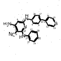 N#Cc1c(N)cc(Nc2ccc(-c3ccncc3)cc2)nc1Nc1ccccc1